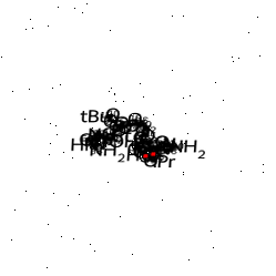 CC[C@]1(COP(=O)(OCOC(=O)C(C)(C)C)OCOC(=O)C(C)(C)CC(C)OC(=O)OCOP(=O)(OCOC(=O)OC(C)C)OC[C@@]2(C3CC3)O[C@@H](n3ccc(N)nc3=O)[C@H](F)[C@@H]2O)O[C@@H](n2cnc3c(=O)[nH]c(N)nc32)[C@H](F)[C@@H]1O